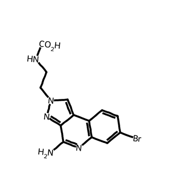 Nc1nc2cc(Br)ccc2c2cn(CCNC(=O)O)nc12